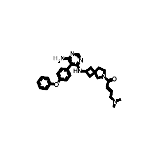 CN(C)CC=CC(=O)N1CCC2(CC(Nc3ncnc(N)c3-c3ccc(Oc4ccccc4)cc3)C2)C1